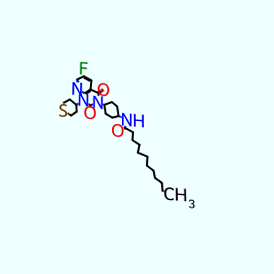 CCCCCCCCCCCC(=O)N[C@H]1CC[C@@H](n2c(=O)c3cc(F)cnc3n(C3CCSCC3)c2=O)CC1